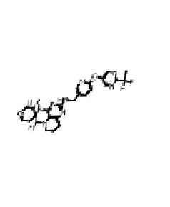 CN1c2nc(NCc3ccc(Oc4cnc(C(F)(F)F)nc4)nc3)nc3c2N(CCC3)C(=O)C12CCOCC2